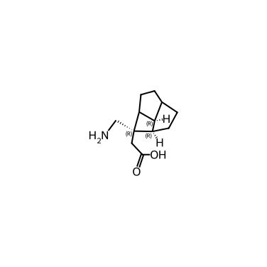 NC[C@]1(CC(=O)O)C2CCC3CC[C@@H]1[C@H]32